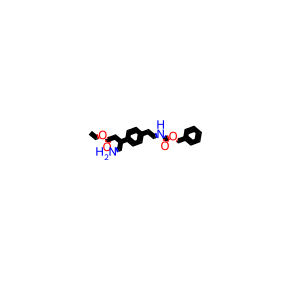 CCOC(=O)CC(CN)c1ccc(CCNC(=O)OCc2ccccc2)cc1